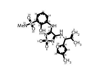 C=C(C)[C@@H](NC1=NS(=O)(=O)N=C1Nc1cccc(S(=O)(=O)NC)c1O)c1cc(C)co1